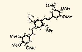 CCCOc1cc(C=Cc2cc(OC)c(OC)c(OC)c2)c(OCCC)cc1C=Cc1cc(OC)c(OC)c(OC)c1